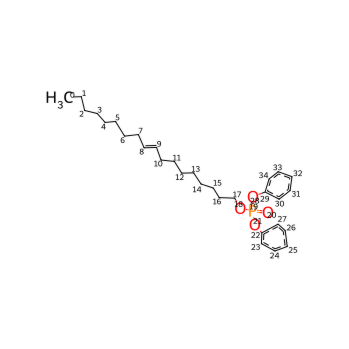 CCCCCCCCC=CCCCCCCCCOP(=O)(Oc1ccccc1)Oc1ccccc1